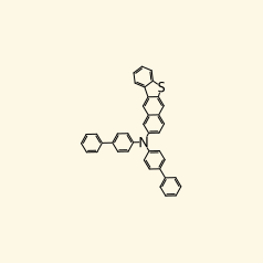 c1ccc(-c2ccc(N(c3ccc(-c4ccccc4)cc3)c3ccc4cc5sc6ccccc6c5cc4c3)cc2)cc1